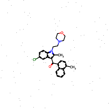 Cc1ccc(C(=O)c2c(C)n(CCN3CCOCC3)c3ccc(Cl)cc23)c2ccccc12